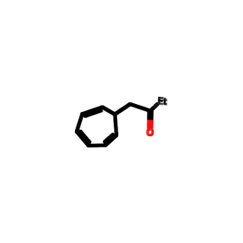 CCC(=O)CC1C=CC=CC=C1